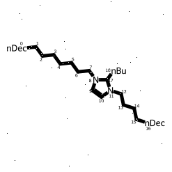 CCCCCCCCCCCCCCCCCN1C=CN(CCCCCCCCCCCCCC)C1CCCC